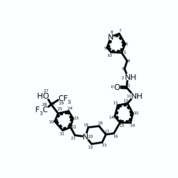 O=C(NCCc1ccncc1)Nc1ccc(CC2CCN(Cc3ccc(C(O)(C(F)(F)F)C(F)(F)F)cc3)CC2)cc1